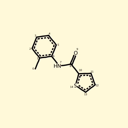 Cc1ccccc1NC(=O)c1cccs1